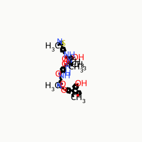 CCC(=C(c1ccc(O)cc1)c1ccc(OCCN(C)C(=O)CCCNC(=O)c2ccc(C(=O)N[C@H](C(=O)N3C[C@H](O)C[C@H]3C(=O)NCc3ccc(-c4scnc4C)cc3)C(C)(C)C)cc2)cc1)c1ccccc1